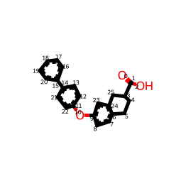 O=C(O)C1CCc2ccc(Oc3ccc(-c4ccccc4)cc3)cc2C1